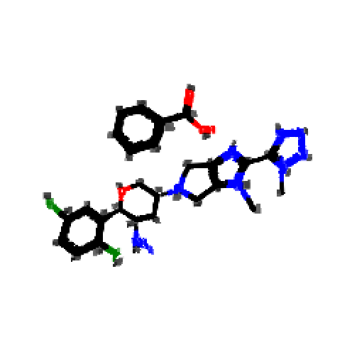 Cn1nnnc1-c1nc2c(n1C)CN([C@H]1CO[C@H](c3cc(F)ccc3F)[C@@H](N)C1)C2.O=C(O)c1ccccc1